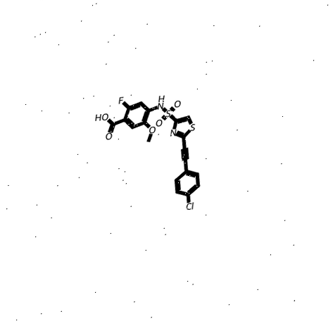 COc1cc(C(=O)O)c(F)cc1NS(=O)(=O)c1csc(C#Cc2ccc(Cl)cc2)n1